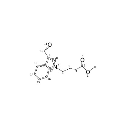 COC(=O)CCCn1nc(C=O)c2ccccc21